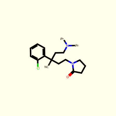 CC(C)N(CCC(C#N)(CCN1CCCC1=O)c1ccccc1Cl)C(C)C